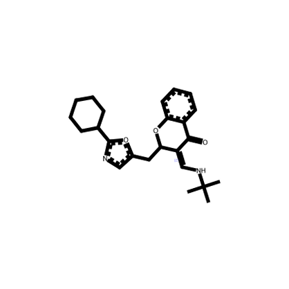 CC(C)(C)N/C=C1\C(=O)c2ccccc2OC1Cc1cnc(C2CCCCC2)o1